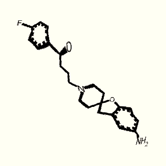 Nc1ccc2c(c1)CC1(CCN(CCCC(=O)c3ccc(F)cc3)CC1)O2